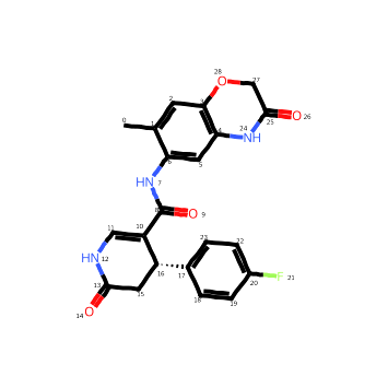 Cc1cc2c(cc1NC(=O)C1=CNC(=O)C[C@H]1c1ccc(F)cc1)NC(=O)CO2